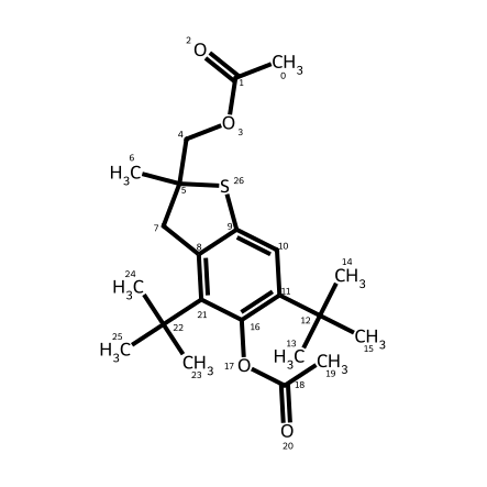 CC(=O)OCC1(C)Cc2c(cc(C(C)(C)C)c(OC(C)=O)c2C(C)(C)C)S1